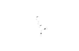 N#CC(C#N)OC(=O)CCCC(=O)O